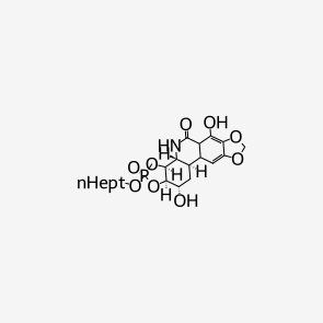 CCCCCCCOP1(=O)O[C@H]2[C@@H]3NC(=O)C4C(O)=C5OCOC5=CC4[C@H]3C[C@H](O)[C@H]2O1